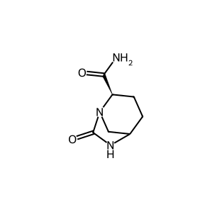 NC(=O)[C@H]1CCC2CN1C(=O)N2